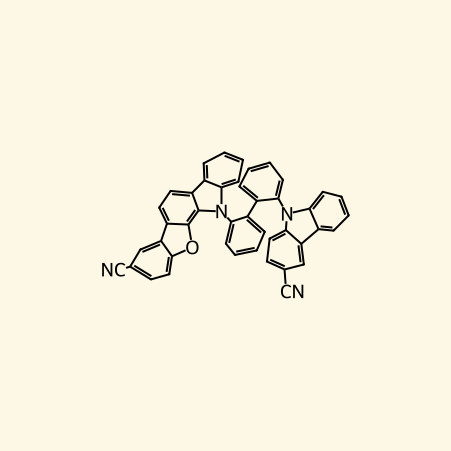 N#Cc1ccc2oc3c(ccc4c5ccccc5n(-c5ccccc5-c5ccccc5-n5c6ccccc6c6cc(C#N)ccc65)c43)c2c1